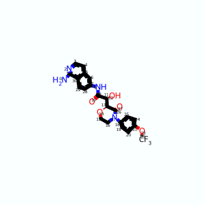 Nc1nccc2cc(NC(=O)[C@H](O)[C@H]3OCCN(c4ccc(OC(F)(F)F)cc4)C3=O)ccc12